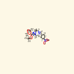 C[C@@H]1CN(Cc2ccc([N+](=O)[O-])cc2)CCN1C(=O)OC(C)(C)C